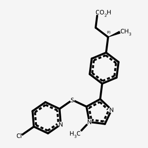 C[C@H](CC(=O)O)c1ccc(-c2ncn(C)c2Sc2ccc(Cl)cn2)cc1